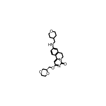 O=c1nc(OC[C@@H]2COCCO2)cc2n1CCc1cc(NCC3CCOCC3)ccc1-2